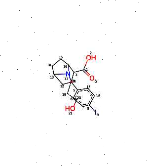 O=C(O)C1C(c2ccc(I)cc2)CC2CCC1N2CCCO